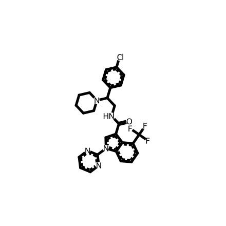 O=C(NCC(c1ccc(Cl)cc1)N1CCCCC1)c1cn(-c2ncccn2)c2cccc(C(F)(F)F)c12